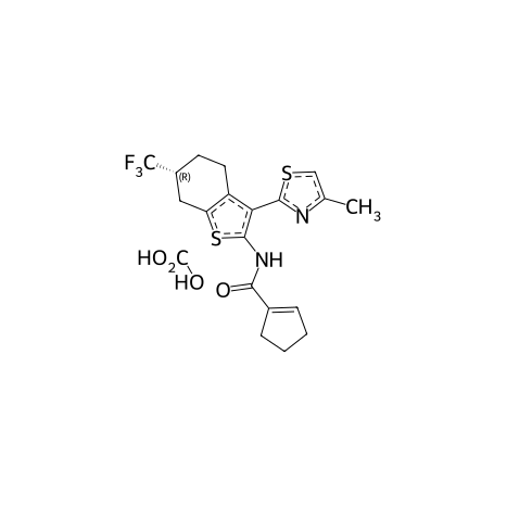 Cc1csc(-c2c(NC(=O)C3=CCCC3)sc3c2CC[C@@H](C(F)(F)F)C3)n1.O=C(O)O